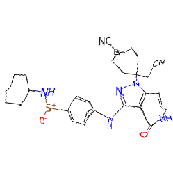 N#CCC1(n2nc(Nc3ccc([S+]([O-])NC4CCCCC4)cc3)c3c(=O)[nH]ccc32)CCB(C#N)CC1